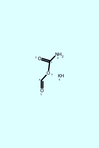 NC(=O)OC=O.[KH]